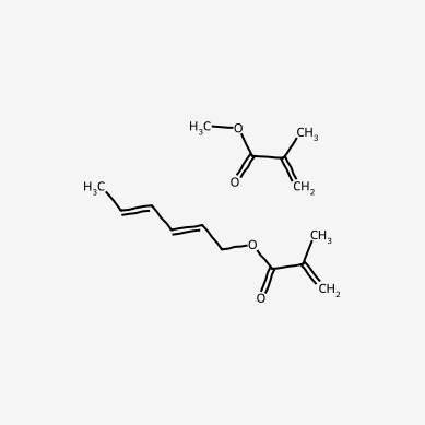 C=C(C)C(=O)OC.C=C(C)C(=O)OCC=CC=CC